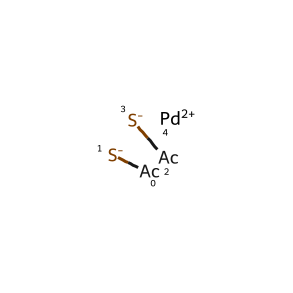 CC(=O)[S-].CC(=O)[S-].[Pd+2]